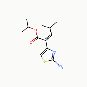 CC(C)/C=C(\C(=O)OC(C)C)c1csc(N)n1